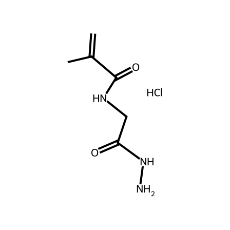 C=C(C)C(=O)NCC(=O)NN.Cl